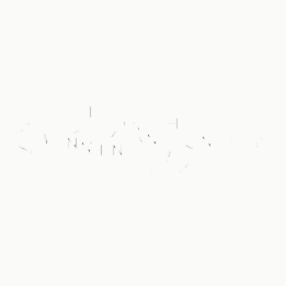 CN1C(=O)[C@@H](NC(=O)c2nn(Cc3ccccc3)cc2F)COc2ccc(N3CCC4(CCOCC4)C3)cc21